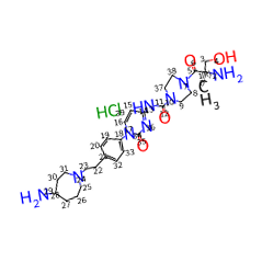 C[C@@](N)(CO)C(=O)N1CCN(C(=O)Nc2ccn(-c3ccc(CCN4CCCC(N)CC4)cc3)c(=O)n2)CC1.Cl